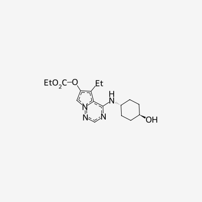 CCOC(=O)Oc1cn2ncnc(N[C@H]3CC[C@H](O)CC3)c2c1CC